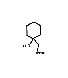 CCCC(C)CC1(N)CCCCC1